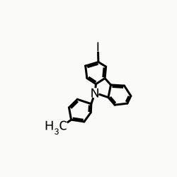 Cc1ccc(-n2c3ccccc3c3cc(I)ccc32)cc1